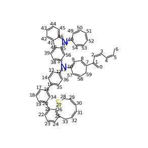 C=C(/C=C\C=C/C)C1=CC=C(N(c2ccc(-c3cccc(-c4cccc5c4SC/C=C\C=C/C5)c3)cc2)c2ccc3c4ccccc4n(C4C=CC=CC=C4)c3c2)C=CC1